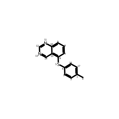 Cc1ccc(Sc2cccc3ncncc23)cc1